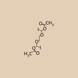 CC(=O)OC(I)OCCOC(I)OC(C)=O